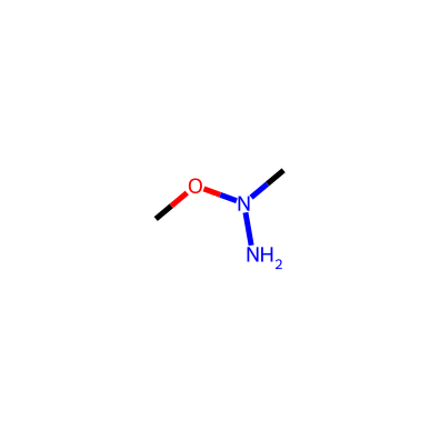 CON(C)N